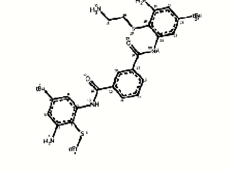 CCCSc1c(N)cc(C(C)(C)C)cc1NC(=O)c1cccc(C(=O)Nc2cc(C(C)(C)C)cc(N)c2SCCN)c1